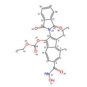 CCCc1c2c(C)cc(C(=O)NO)ccc-2c(OC(=O)OCC)c1N1C(=O)c2ccccc2C1=O